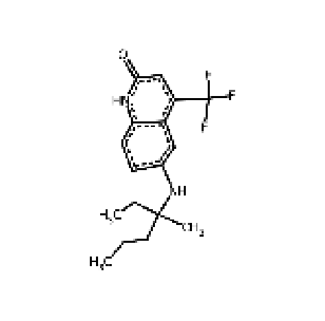 CCCC(C)(CC)Nc1ccc2[nH]c(=O)cc(C(F)(F)F)c2c1